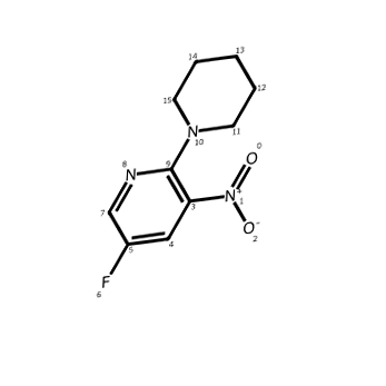 O=[N+]([O-])c1cc(F)cnc1N1CCCCC1